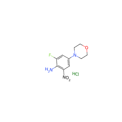 Cl.Nc1c(F)cc(N2CCOCC2)cc1[N+](=O)[O-]